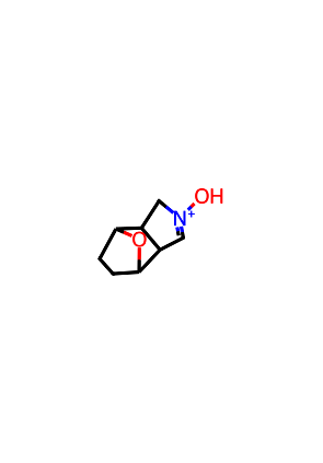 O[N+]1=CC2C3CCC(O3)C2C1